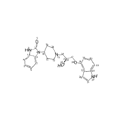 O=c1[nH]c2ccccc2n1C1CCN(C[C@H](O)COc2cccc3[nH]ccc23)CC1